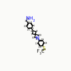 NCc1ccc(C2CC3(C2)CN(c2ccc(SC(F)(F)F)cc2)C3)cc1